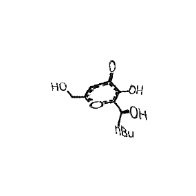 CCCCC(O)c1oc(CO)cc(=O)c1O